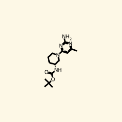 Cc1cc(N2CCC[C@@H](NC(=O)OC(C)(C)C)C2)nc(N)n1